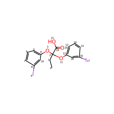 CCC(Oc1cccc(I)c1)(Oc1cccc(I)c1)C(=O)O